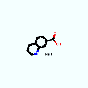 O=C(O)c1ccc2cccnc2c1.[NaH]